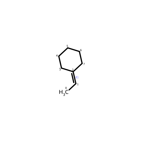 C/C=C1\[CH]CCCC1